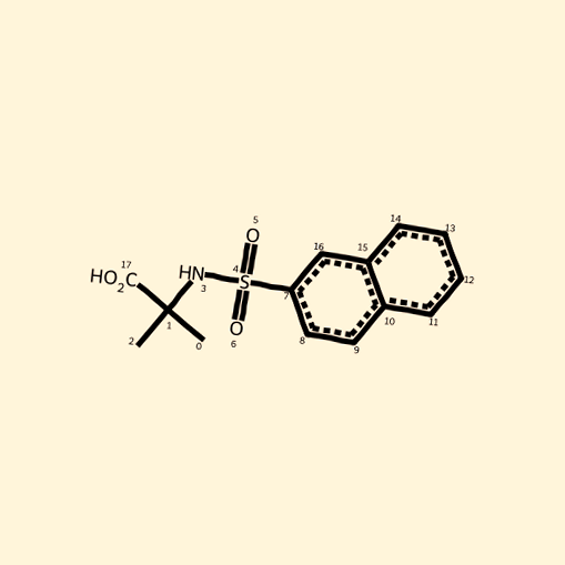 CC(C)(NS(=O)(=O)c1ccc2ccccc2c1)C(=O)O